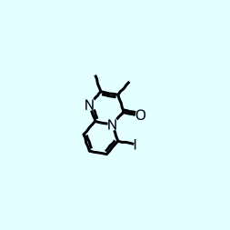 Cc1nc2cccc(I)n2c(=O)c1C